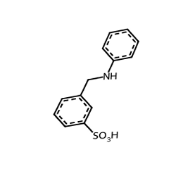 O=S(=O)(O)c1cccc(CNc2ccccc2)c1